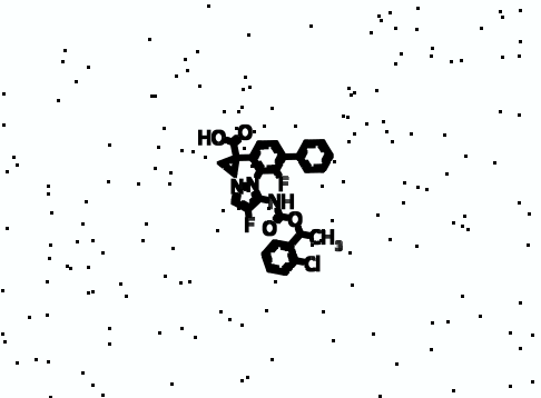 CC(OC(=O)Nc1c(F)cnn1-c1c(C2(C(=O)O)CC2)ccc(-c2ccccc2)c1F)c1ccccc1Cl